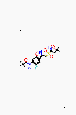 CCC(C)(C)C(=O)Nc1cc2onc(CS(=O)(=O)C3=NOC(C)(C)C3)c2cc1F